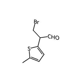 Cc1ccc(C(C=O)CBr)s1